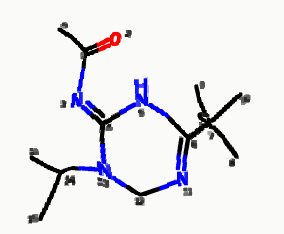 CC(=O)N=C1NC([Si](C)(C)C)=NCN1C(C)C